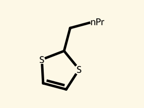 [CH2]CCCC1SC=CS1